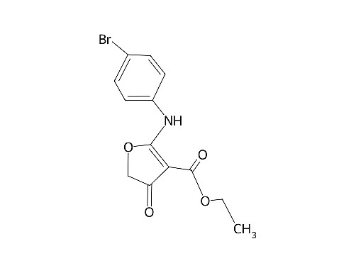 CCOC(=O)C1=C(Nc2ccc(Br)cc2)OCC1=O